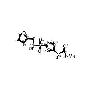 CNC(=O)N(C)c1nnc(S(=O)(=O)N(C)Cc2ccco2)s1